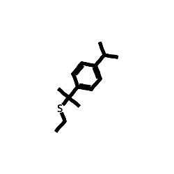 CCSC(C)(C)c1ccc(C(C)C)cc1